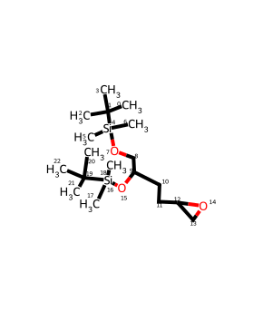 CC(C)(C)[Si](C)(C)OCC(CCC1CO1)O[Si](C)(C)C(C)(C)C